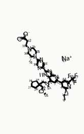 CCOc1cc(-c2cc(N(C)CC3(COC)CCCC3)c3[nH]c(-c4cnc(N5CCN(CCC(=O)[O-])C[C@H]5C)cn4)nc3n2)cc(C(F)(F)F)n1.[Na+]